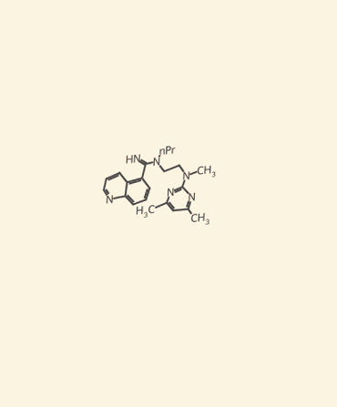 CCCN(CCN(C)c1nc(C)cc(C)n1)C(=N)c1cccc2ncccc12